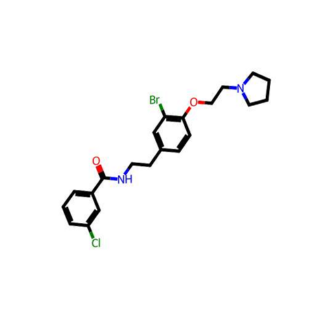 O=C(NCCc1ccc(OCCN2CCCC2)c(Br)c1)c1cccc(Cl)c1